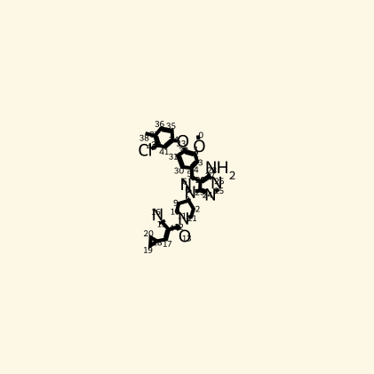 COc1cc(-c2nn(C3CCN(C(=O)/C(C#N)=C/C4CC4)CC3)c3ncnc(N)c23)ccc1Oc1ccc(C)c(Cl)c1